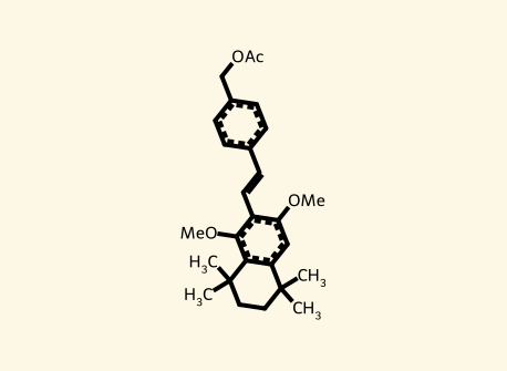 COc1cc2c(c(OC)c1C=Cc1ccc(COC(C)=O)cc1)C(C)(C)CCC2(C)C